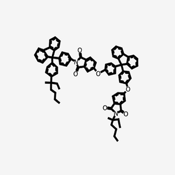 CCCCC(C)(CC)c1ccc(C2(c3ccc(N4C(=O)c5ccc(Oc6ccc(C7(c8ccc(Oc9ccc%10c(c9)C(=O)N(C(C)(CC)CCCC)C%10=O)cc8)c8ccccc8-c8ccccc87)cc6)cc5C4=O)cc3)c3ccccc3-c3ccccc32)cc1